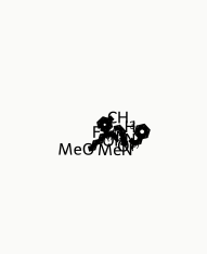 CNC[C@H](CC1CCCCC1)NC(=O)N1CCC[C@@H]([C@@](O)(CCCCOC)c2cc(C)ccc2F)C1